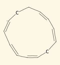 [C]1=CC=CC=CCC=CC=CCC1